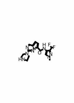 Cn1cc(NC(=O)c2ccc3cnc(N4CCNCC4)nn23)c(C(F)F)n1